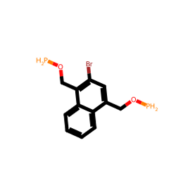 POCc1cc(Br)c(COP)c2ccccc12